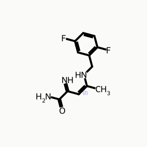 C/C(=C/C(=N)C(N)=O)NCc1cc(F)ccc1F